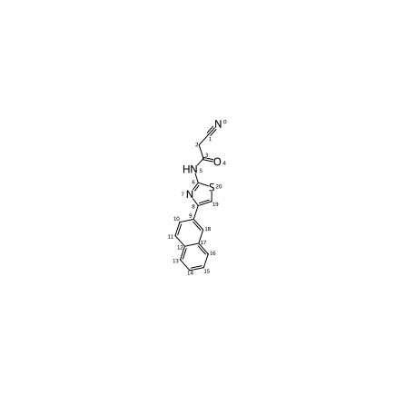 N#CCC(=O)Nc1nc(-c2ccc3ccccc3c2)cs1